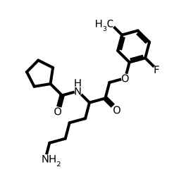 Cc1ccc(F)c(OCC(=O)C(CCCCN)NC(=O)C2CCCC2)c1